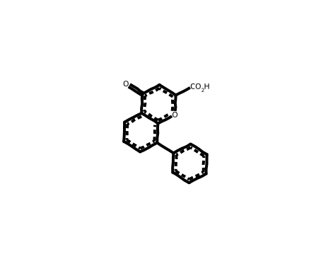 O=C(O)c1cc(=O)c2cccc(-c3ccccc3)c2o1